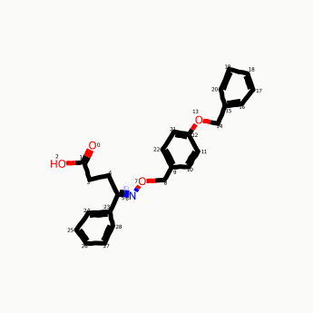 O=C(O)CC/C(=N\OCc1ccc(OCc2ccccc2)cc1)c1ccccc1